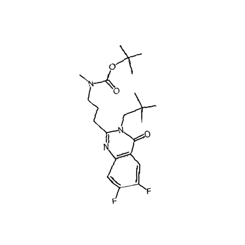 CN(CCCc1nc2cc(F)c(F)cc2c(=O)n1CC(C)(C)C)C(=O)OC(C)(C)C